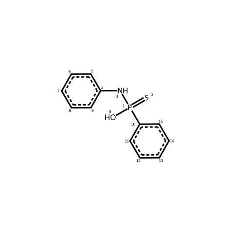 OP(=S)(Nc1ccccc1)c1ccccc1